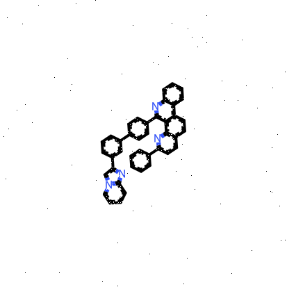 c1ccc(-c2ccc3ccc4c5ccccc5nc(-c5ccc(-c6cccc(-c7cn8ccccc8n7)c6)cc5)c4c3n2)cc1